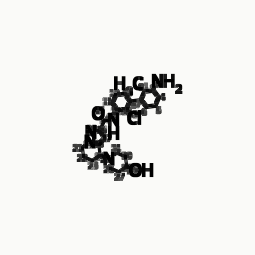 Cc1c(N)cccc1-c1cccc(NC(=O)c2cc3n(n2)CCCC3N2CCC(O)CC2)c1Cl